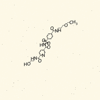 CCOCCCNC(=O)c1ccc(S(=O)(=O)NC(=O)c2ccc(C(=O)NCCO)nc2)cc1